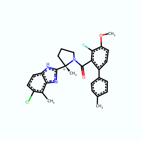 COc1ccc(-c2ccc(C)cc2)c(C(=O)N2CCC[C@@]2(C)c2nc3c(C)c(Cl)ccc3[nH]2)c1F